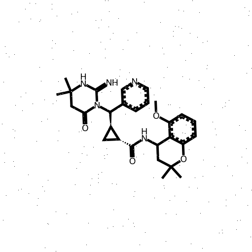 COc1cccc2c1C(NC(=O)[C@@H]1C[C@H]1C(c1cccnc1)N1C(=N)NC(C)(C)CC1=O)CC(C)(C)O2